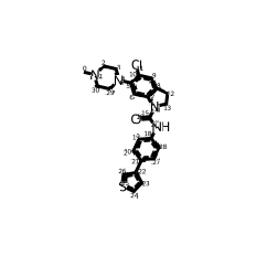 CN1CCN(c2cc3c(cc2Cl)CCN3C(=O)Nc2ccc(-c3ccsc3)cc2)CC1